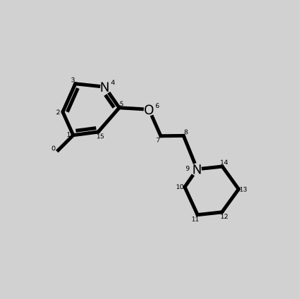 Cc1ccnc(OCCN2CCCCC2)c1